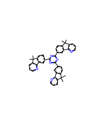 CC1(C)c2ccc(-c3nc(-c4ccc5c(c4)-c4ncccc4C5(C)C)nc(-c4ccc5c(c4)-c4ncccc4C5(C)C)n3)cc2-c2ncccc21